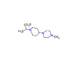 CC(C(=O)O)N1CCC(N2CCN(C)CC2)CC1